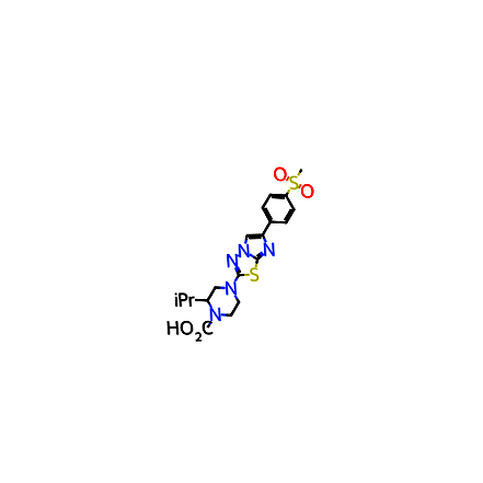 CC(C)C1CN(c2nn3cc(-c4ccc(S(C)(=O)=O)cc4)nc3s2)CCN1C(=O)O